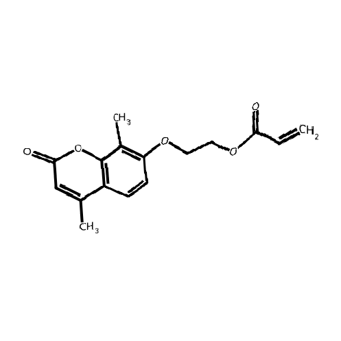 C=CC(=O)OCCOc1ccc2c(C)cc(=O)oc2c1C